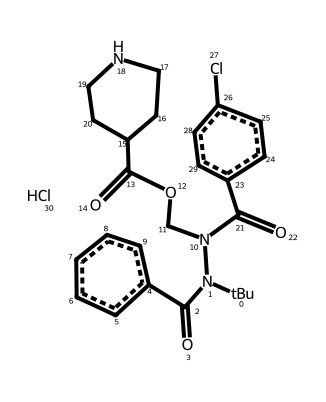 CC(C)(C)N(C(=O)c1ccccc1)N(COC(=O)C1CCNCC1)C(=O)c1ccc(Cl)cc1.Cl